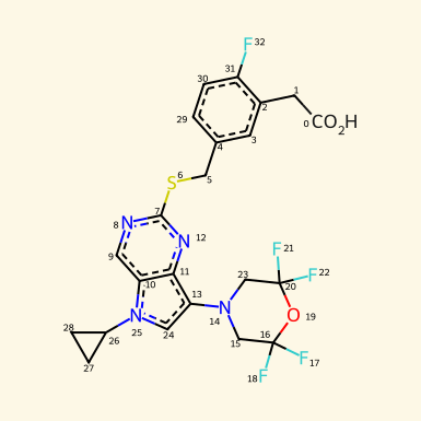 O=C(O)Cc1cc(CSc2ncc3c(n2)c(N2CC(F)(F)OC(F)(F)C2)cn3C2CC2)ccc1F